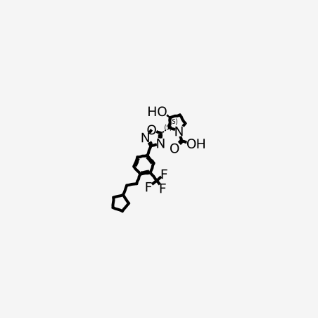 O=C(O)N1CC[C@H](O)[C@H]1c1nc(-c2ccc(CCC3CCCC3)c(C(F)(F)F)c2)no1